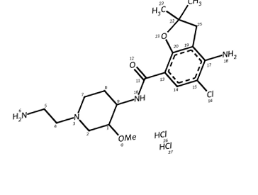 COC1CN(CCN)CCC1NC(=O)c1cc(Cl)c(N)c2c1OC(C)(C)C2.Cl.Cl